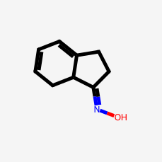 ON=C1CCC2=CC=CCC21